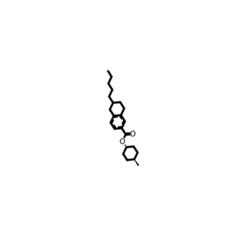 CCCCCC1CCc2cc(C(=O)O[C@H]3CC[C@H](C)CC3)ccc2C1